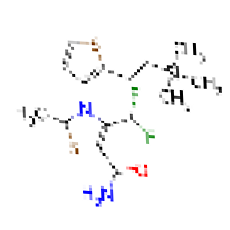 CC1SC(C(N)=O)=C(C(F)F)N1c1ccsc1CC[Si](C)(C)C